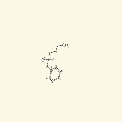 CCCCC(F)(Cl)Cc1ccccc1